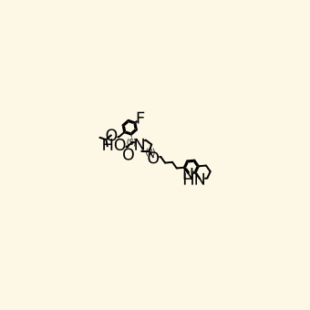 CC(C)OCc1ccc(F)cc1[C@@H](C(=O)O)N1CC[C@@H](OCCCCc2ccc3c(n2)NCCC3)C1